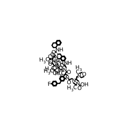 CC1CN(CC(=O)N2CC(C)(C(=O)NCC(=O)Nc3ccc4c(c3)CN(C(=O)[C@@H](NC(=O)[C@H](C)N(C)C(=O)OC(C)(C)C)C(C)(C)C)[C@H](C(=O)N[C@@H]3CCCc5ccccc53)C4)c3ccc(Cc4ccc(F)cc4)cc32)C(CN2CCOC[C@H]2C)CN1C(=O)O